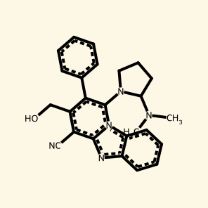 CN(C)C1CCCN1c1c(-c2ccccc2)c(CO)c(C#N)c2nc3ccccc3n12